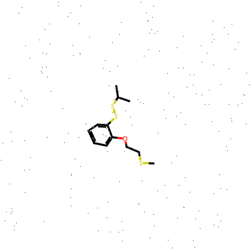 CSCCOc1ccccc1SSC(C)C